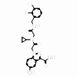 NC(=O)c1nn(CC(=O)N(CC(=O)NCc2cccc(Cl)c2F)C2CC2)c2ccc(N)cc12